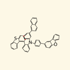 c1cc(-c2ccc3ccccc3c2)cc(N(c2ccc(-c3ccc4oc5ccccc5c4c3)cc2)c2ccccc2-c2cccc3sc4ccccc4c23)c1